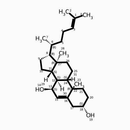 CC(C)=CCC[C@@H](C)[C@H]1CC[C@H]2[C@@H]3[C@H](O)C=C4C[C@@H](O)CC[C@]4(C)[C@H]3CC[C@]12C